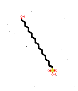 O=S(=O)(O)C=CCCCCCCCCCCCCCCCCO